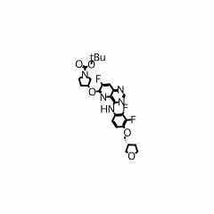 CC(C)(C)OC(=O)N1CC[C@H](Oc2nc3c(Nc4ccc(OC[C@@H]5CCOC5)c(F)c4F)ncnc3cc2F)C1